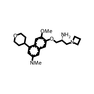 CNc1cc(C2CCOCC2)c2cc(OC)c(OC[C@H](N)CN3CCC3)cc2c1